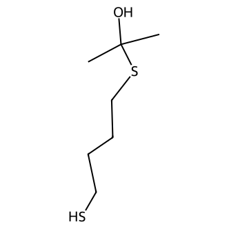 CC(C)(O)SCCCCS